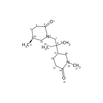 C[C@H]1CCC(=O)N(CC(C)(C)C2CCC(=O)N(C)C2)C1